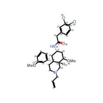 C=CCN1CC[C@@]2(c3cccc(OC)c3)C[C@H](NC(=O)Cc3ccc(Cl)c(Cl)c3)CC(OC)[C@@H]2C1